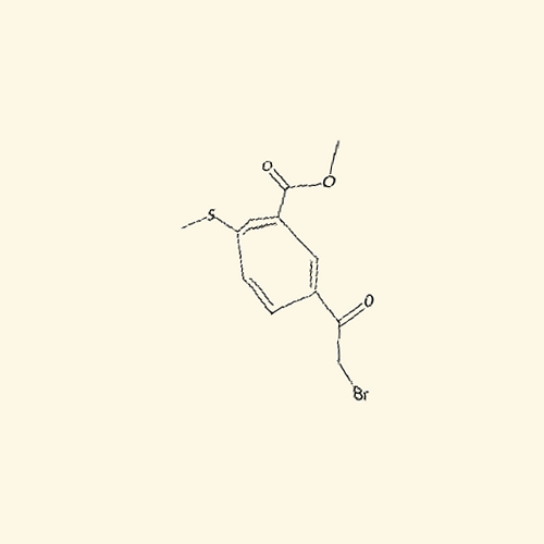 COC(=O)c1cc(C(=O)CBr)ccc1SC